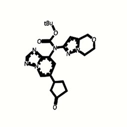 CC(C)(C)OC(=O)N(c1cc2n(n1)CCOC2)c1cc(C2CCC(=O)C2)cn2ncnc12